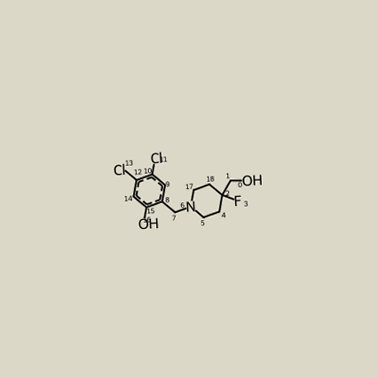 OCC1(F)CCN(Cc2cc(Cl)c(Cl)cc2O)CC1